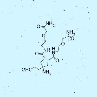 NC(=O)COCCNC(=O)CCC(N)(CCC=O)CCC(=O)NCCOCC(N)=O